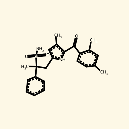 Cc1ccc(C(=O)c2[nH]c(CC(C)(c3ccccc3)S(N)(=O)=O)cc2C)c(C)c1